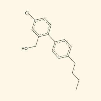 CCCCc1ccc(-c2ccc(Cl)cc2CO)cc1